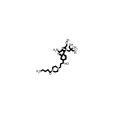 CCOCc1nc2c(N)nc3cc(CCCN4CCN(C(=O)CCCN)CC4)ccc3c2n1CC(C)(CO)CO.Cl